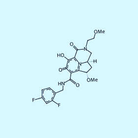 COCCN1C[C@H]2C[C@H](OC)c3c(C(=O)NCc4ccc(F)cc4F)c(=O)c(O)c(n32)C1=O